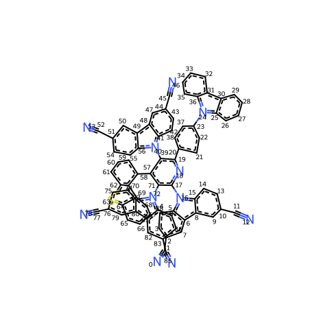 N#Cc1ccc2c(c1)c1cc(C#N)ccc1n2-c1nc(-c2ccc(-n3c4ccccc4c4ccccc43)cc2)c(-n2c3ccc(C#N)cc3c3cc(C#N)ccc32)c(-c2cccc3sc4ccccc4c23)c1-n1c2ccc(C#N)cc2c2cc(C#N)ccc21